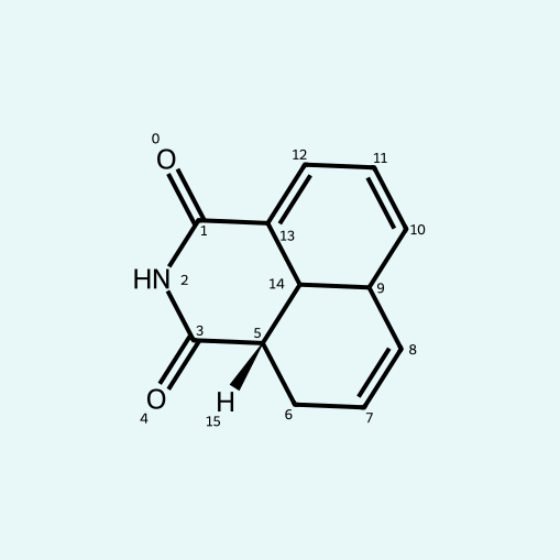 O=C1NC(=O)[C@H]2CC=CC3C=CC=C1C32